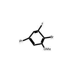 COc1cc(C(C)C)cc(F)c1Br